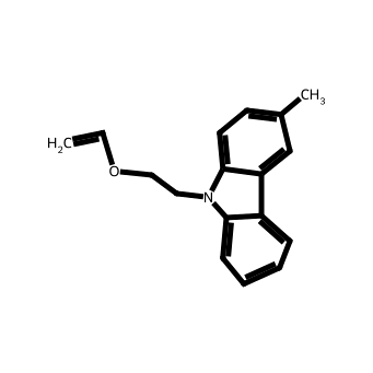 C=COCCn1c2ccccc2c2cc(C)ccc21